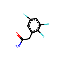 NC(=O)Cc1cc(F)cc(F)c1F